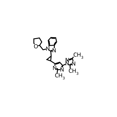 Cc1nc(C2CC2c2nc3ccccc3n2CC2CCCCO2)cc(-n2nc(C)nc2C)n1